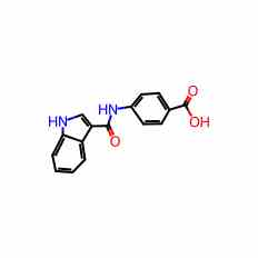 O=C(O)c1ccc(NC(=O)c2c[nH]c3ccccc23)cc1